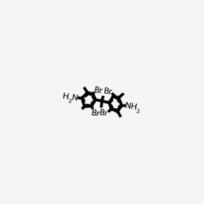 Cc1c(N)c(C)c(Br)c(C(C)(C)c2c(Br)c(C)c(N)c(C)c2Br)c1Br